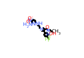 C[C@@H](O)CNC(=O)c1cn(CCCNc2ccc([N+](=O)[O-])c(N)n2)cc1-c1ccc(C(F)(F)F)cc1